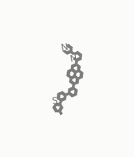 Cc1ccc2sc3ccc(-c4cccc(-c5cc6ccc7cc(-c8cccc(-c9ccncc9)n8)cc8ccc(c5)c6c78)c4)cc3c2c1